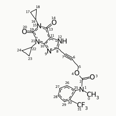 CN(C(=O)OCC#Cc1nc2c([nH]1)c(=O)n(C1CC1)c(=O)n2C1CC1)c1ccccc1C(F)(F)F